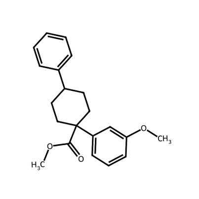 COC(=O)C1(c2cccc(OC)c2)CCC(c2ccccc2)CC1